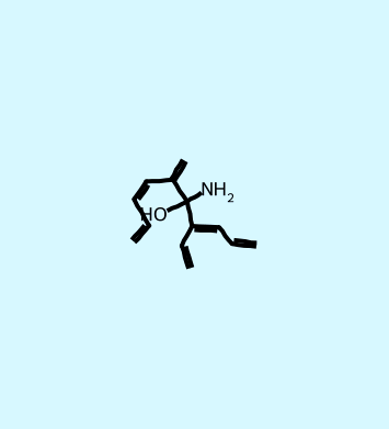 C=C/C=C\C(=C)C(N)(O)/C(C=C)=C/C=C